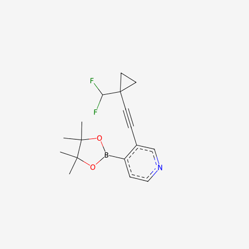 CC1(C)OB(c2ccncc2C#CC2(C(F)F)CC2)OC1(C)C